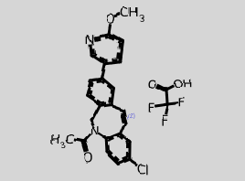 COc1ccc(-c2ccc3c(c2)/C=C\c2cc(Cl)ccc2N(C(C)=O)C3)cn1.O=C(O)C(F)(F)F